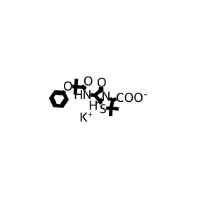 CC(C)(Oc1ccccc1)C(=O)NC1C(=O)N2C(C(=O)[O-])C(C)(C)S[C@@H]12.[K+]